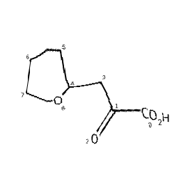 O=C(O)C(=O)CC1CCCO1